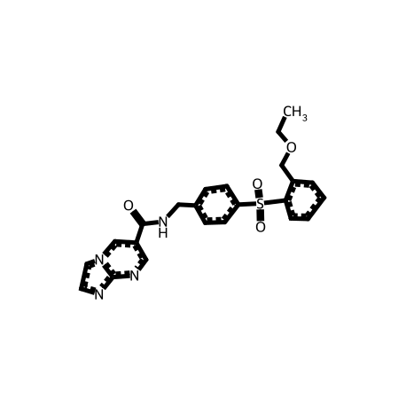 CCOCc1ccccc1S(=O)(=O)c1ccc(CNC(=O)c2cnc3nccn3c2)cc1